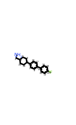 NCC1CCC(c2ccc(-c3ccc(F)cc3)cc2)CC1